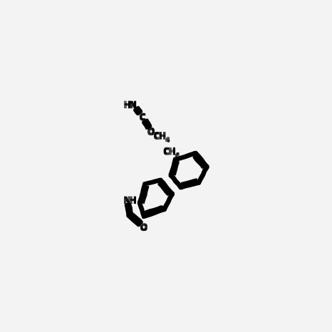 C.C.N=C=O.N=C=O.c1ccccc1.c1ccccc1